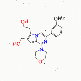 COc1cccc(-c2cn3c(CCO)c(CO)cc3c(N3CCOCC3)n2)c1